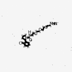 [N-]=[N+]=NCCOCCOCCOCCNC(=O)N1CCCC1c1ccccc1Cl